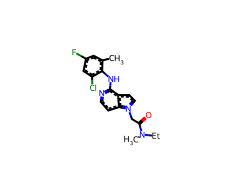 CCN(C)C(=O)Cn1ccc2c(Nc3c(C)cc(F)cc3Cl)nccc21